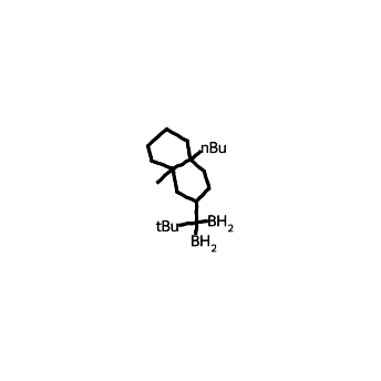 BC(B)(C1CCC2(CCCC)CCCCC2(C)C1)C(C)(C)C